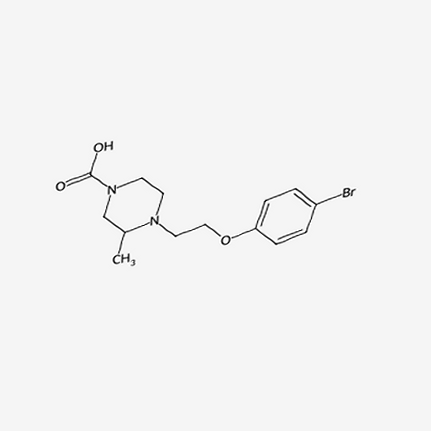 CC1CN(C(=O)O)CCN1CCOc1ccc(Br)cc1